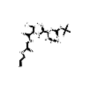 C=CCOC(=O)CNC(=O)[C@@H](NC(=O)[C@H](CC(=O)OC(C)(C)C)N=[N+]=[N-])[C@@H](C)O